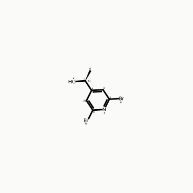 C[C@H](O)c1cc(Br)nc(Br)c1